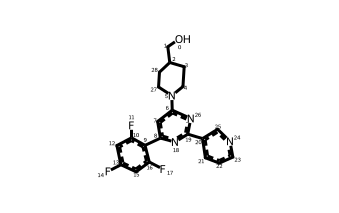 OCC1CCN(c2cc(-c3c(F)cc(F)cc3F)nc(-c3cccnc3)n2)CC1